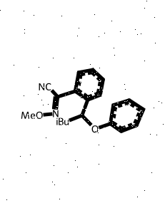 CCC(C)C(Oc1ccccc1)c1ccccc1C(C#N)=NOC